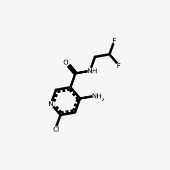 Nc1cc(Cl)ncc1C(=O)NCC(F)F